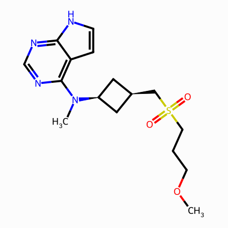 COCCCS(=O)(=O)C[C@H]1C[C@@H](N(C)c2ncnc3[nH]ccc23)C1